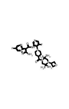 BC1(B)CN(C2COC2)C(B)(B)CN1C(=O)C1CCN(c2c(F)cncc2NC(=O)c2c(N)nn3cc(F)cnc23)CC1